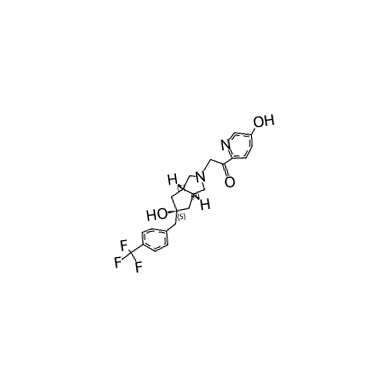 O=C(CN1C[C@@H]2C[C@](O)(Cc3ccc(C(F)(F)F)cc3)C[C@@H]2C1)c1ccc(O)cn1